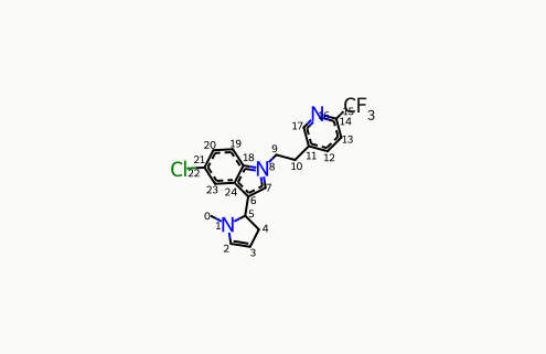 CN1C=CCC1c1cn(CCc2ccc(C(F)(F)F)nc2)c2ccc(Cl)cc12